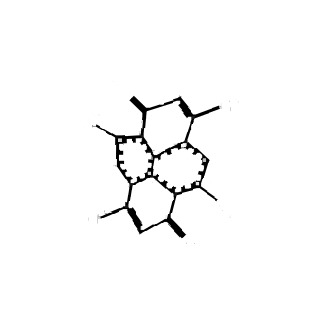 O=C1C=C(Cl)c2cc(Cl)c3c4c(cc(Cl)c1c24)C(Cl)=CC3=O